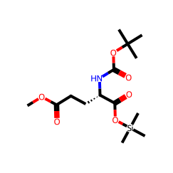 COC(=O)CC[C@H](NC(=O)OC(C)(C)C)C(=O)O[Si](C)(C)C